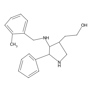 Cc1ccccc1CNC1C(CCO)CNC1c1ccccc1